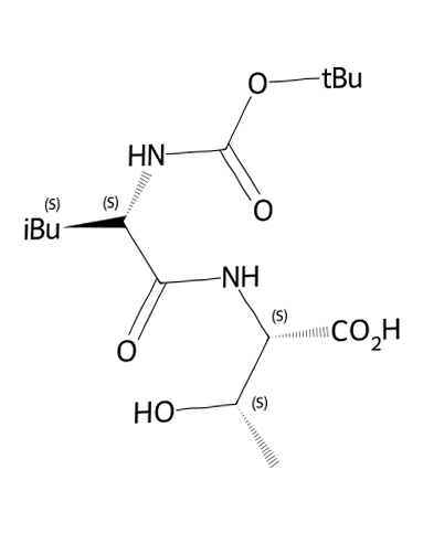 CC[C@H](C)[C@H](NC(=O)OC(C)(C)C)C(=O)N[C@H](C(=O)O)[C@H](C)O